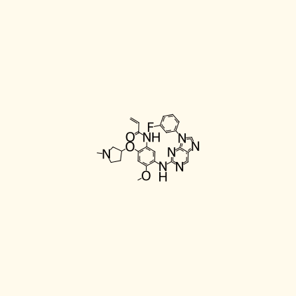 C=CC(=O)Nc1cc(Nc2ncc3ncn(-c4cccc(F)c4)c3n2)c(OC)cc1OC1CCN(C)C1